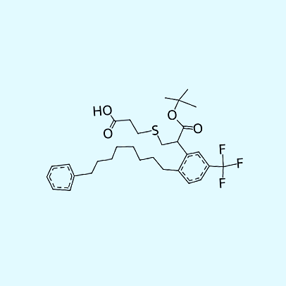 CC(C)(C)OC(=O)C(CSCCC(=O)O)c1cc(C(F)(F)F)ccc1CCCCCCCCc1ccccc1